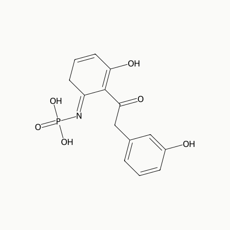 O=C(Cc1cccc(O)c1)C1=C(O)C=CCC1=NP(=O)(O)O